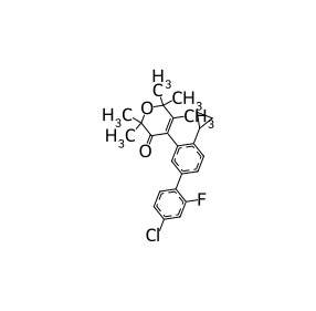 CC1=C(c2cc(-c3ccc(Cl)cc3F)ccc2C2CC2)C(=O)C(C)(C)OC1(C)C